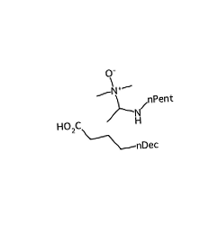 CCCCCCCCCCCCCC(=O)O.CCCCCNC(C)[N+](C)(C)[O-]